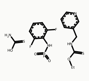 CCOC(=S)NCc1cccnc1.NC(O)=S.O=[SH](=O)Nc1c(F)cccc1F